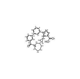 O=C(O)c1cnn(-c2cccc(-c3cccc(C(=O)N4CCCCCC4)c3)c2)c1C1CC1